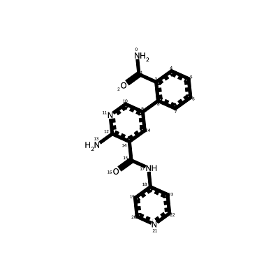 NC(=O)c1ccccc1-c1cnc(N)c(C(=O)Nc2ccncc2)c1